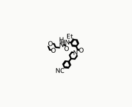 CCc1ccc(C(=O)N2CCC(c3ccc(C#N)cc3)CC2)cc1NC(=O)NCC1COCCO1